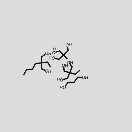 CC(CO)(CO)CO.CCC(CO)(CO)CO.CCCCC(CC)(CO)CO.OCCCO